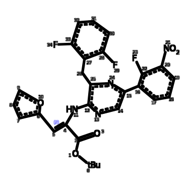 CC(C)(C)OC(=O)/C(=C/c1ccco1)Nc1ncc(-c2cccc([N+](=O)[O-])c2F)nc1Cc1c(F)cccc1F